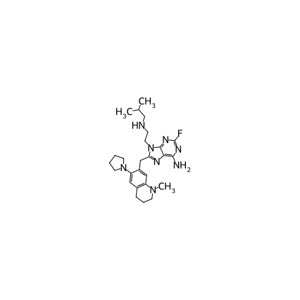 CC(C)CNCCn1c(Cc2cc3c(cc2N2CCCC2)CCCN3C)nc2c(N)nc(F)nc21